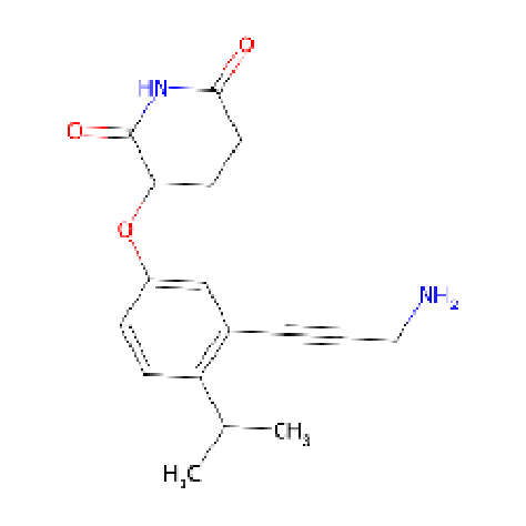 CC(C)c1ccc(OC2CCC(=O)NC2=O)cc1C#CCN